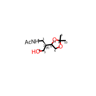 CC(=O)NC[C@H](CO)C1COC(C)(C)O1